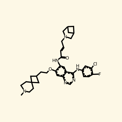 CN1CCC2(CC1)CC(CCOc1cc3ncnc(Nc4ccc(F)c(Cl)c4)c3cc1NC(=O)/C=C/CN1CC3CC(C3)C1)C2